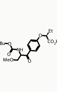 CC[C@H](Oc1ccc(C(=O)C(COC)NC(=O)OC(C)(C)C)cc1)C(=O)O